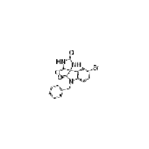 O=C1NC(=O)C2(N1)C(=O)N(Cc1ccccc1)c1ccc(Br)cc12